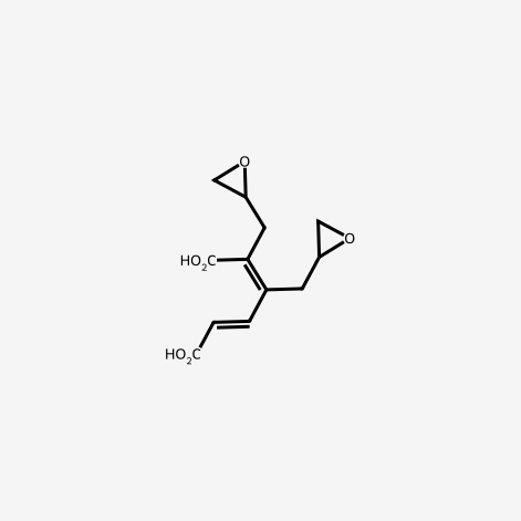 O=C(O)C=CC(CC1CO1)=C(CC1CO1)C(=O)O